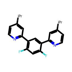 CC(C)c1ccnc(-c2cc(-c3cc(C(C)C)ccn3)c(F)cc2F)c1